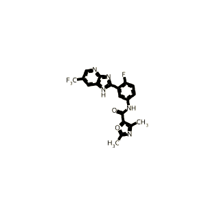 Cc1nc(C)c(C(=O)Nc2ccc(F)c(-c3nc4ncc(C(F)(F)F)cc4[nH]3)c2)o1